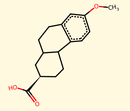 COc1ccc2c(c1)CCC1C[C@H](C(=O)O)CCC21